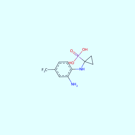 Nc1cc(C(F)(F)F)ccc1NC1(P(=O)(O)O)CC1